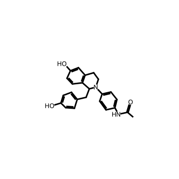 CC(=O)Nc1ccc(N2CCc3cc(O)ccc3C2Cc2ccc(O)cc2)cc1